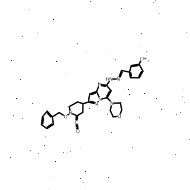 Cc1cccc(C=NNc2cc(N3CCOCC3)n3nc(C4CCN(OCc5ccccc5)C(=C=O)C4)cc3n2)c1